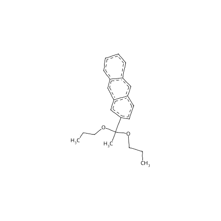 CCCOC(C)(OCCC)c1ccc2cc3ccccc3cc2c1